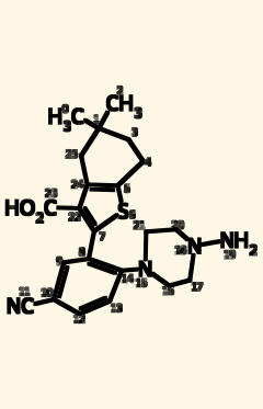 CC1(C)CCc2sc(-c3cc(C#N)ccc3N3CCN(N)CC3)c(C(=O)O)c2C1